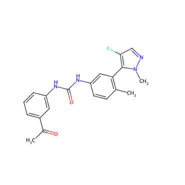 CC(=O)c1cccc(NC(=O)Nc2ccc(C)c(-c3c(F)cnn3C)c2)c1